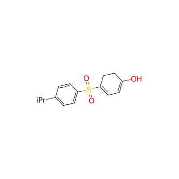 CC(C)c1ccc(S(=O)(=O)C2=CC=C(O)CC2)cc1